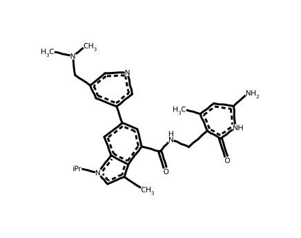 Cc1cc(N)[nH]c(=O)c1CNC(=O)c1cc(-c2cncc(CN(C)C)c2)cc2c1c(C)cn2C(C)C